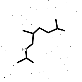 CC(C)CCC(C)CNC(C)C